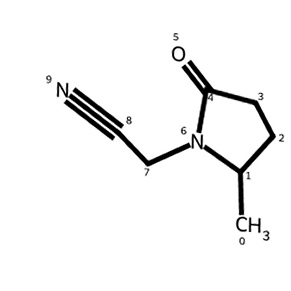 CC1CCC(=O)N1CC#N